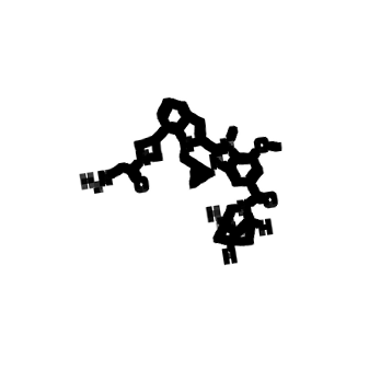 COc1cc(C(=O)N2C[C@H]3C[C@H]4C[C@@H]2[C@]34C)cc2nc(-c3cc4cccc(C5CN(C(=O)CN)C5)c4n3CC3CC3)n(C)c12